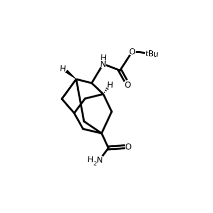 CC(C)(C)OC(=O)NC1[C@@H]2CC3C[C@H]1CC(C(N)=O)(C3)C2